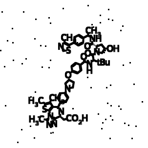 Cc1ncsc1-c1ccc(C(C)NC(=O)[C@@H]2C[C@@H](O)CN2C(=O)C(NC(=O)c2ccc(O[C@H]3CCN(c4ccc(C5=N[C@@H](CC(=O)O)c6nnc(C)n6-c6sc(C)c(C)c65)cc4)C3)cc2)C(C)(C)C)cc1